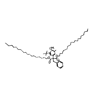 CCCCCCCCCCCCCCCCCCOC(=O)C(Cc1ccccc1)(C(=O)OCCCCCCCCCCCCCCCCCC)c1cc(C)c(O)c(C(C)(C)C)c1